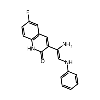 N/C(=C\Nc1ccccc1)c1cc2cc(F)ccc2[nH]c1=O